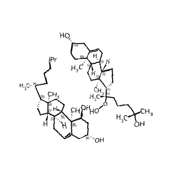 CC(C)(O)CCC[C@](C)(OO)[C@H]1CC[C@H]2[C@@H]3CC=C4C[C@@H](O)CC[C@]4(C)[C@H]3CC[C@@]21C.CC(C)CCC[C@@H](C)[C@H]1CC[C@H]2[C@@H]3CC=C4C[C@@H](O)CC(O)[C@]4(C)[C@H]3CC[C@]12C